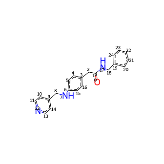 O=C(Cc1ccc(NCc2ccncc2)cc1)NCc1ccccc1